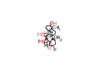 C[C@]12CC[C@H]3O[C@H]3[C@@H]1[C@@H](O)[C@H](O)[C@@H]1[C@@H]2CC[C@]2(C)[C@@H](O)CC[C@@H]12